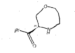 CC(C)C(=O)[C@H]1COCCN1